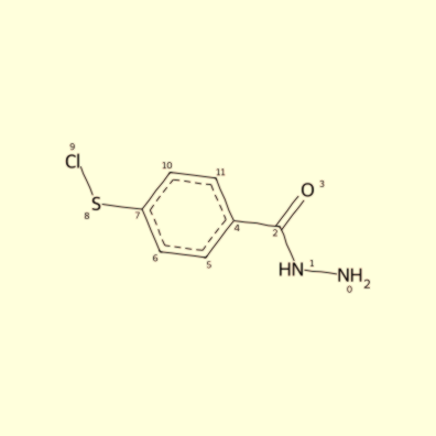 NNC(=O)c1ccc(SCl)cc1